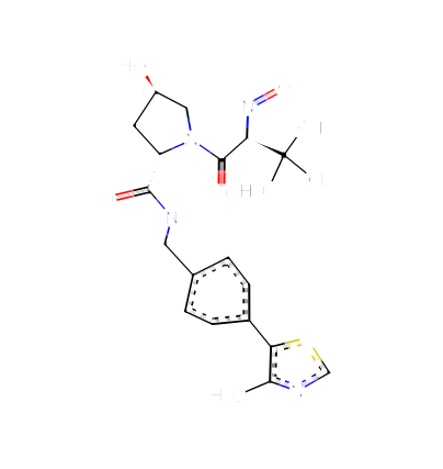 Cc1ncsc1-c1ccc(CNC(=O)[C@@H]2C[C@@H](O)CN2C(=O)[C@@H](N=O)C(C)(C)C)cc1